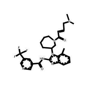 Cc1cccc2nc(NC(=O)c3cncc(C(F)(F)F)c3)n(C3CCCCN(C(=O)C=CCN(C)C)C3)c12